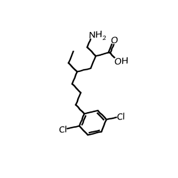 CCC(CCCc1cc(Cl)ccc1Cl)CC(CN)C(=O)O